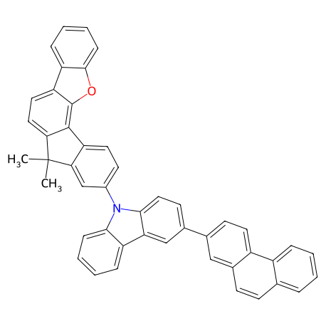 CC1(C)c2cc(-n3c4ccccc4c4cc(-c5ccc6c(ccc7ccccc76)c5)ccc43)ccc2-c2c1ccc1c2oc2ccccc21